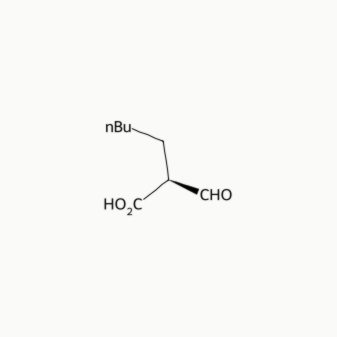 CCCCC[C@@H](C=O)C(=O)O